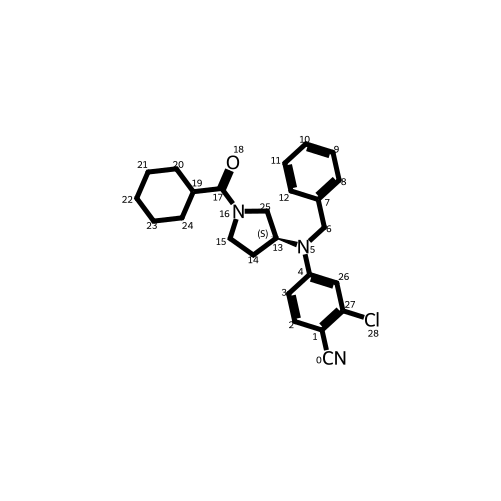 N#Cc1ccc(N(Cc2ccccc2)[C@H]2CCN(C(=O)C3CCCCC3)C2)cc1Cl